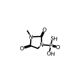 CN1C(=O)CN(P(=O)(O)S)C1=O